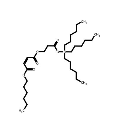 CCCCCCOC(=O)/C=C\C(=O)OCCC(=O)O[Si](CCCCCC)(CCCCCC)CCCCCC